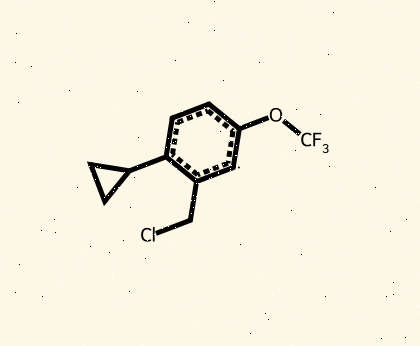 FC(F)(F)Oc1[c]c(CCl)c(C2CC2)cc1